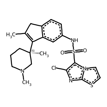 CC1=C([C@]2(C)CCCN(C)C2)c2cc(NS(=O)(=O)c3c(Cl)nc4sccn34)ccc2C1